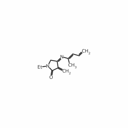 C=C/C=C(C)/N=C1/CN(CC)C(=O)C1=C